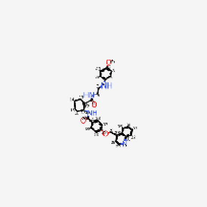 COc1ccc(NCCNC(=O)[C@@H]2CCCC[C@@H]2NC(=O)c2ccc(OCc3ccnc4ccccc34)cc2)cc1